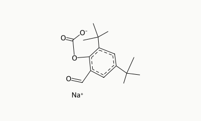 CC(C)(C)c1cc(C=O)c(OC(=O)[O-])c(C(C)(C)C)c1.[Na+]